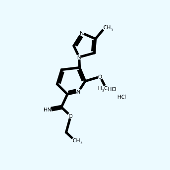 CCOC(=N)c1ccc(-n2cnc(C)c2)c(OC)n1.Cl.Cl